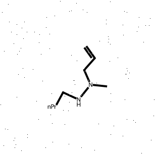 C=CCN(C)NCCCC